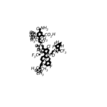 CC(C)OP(=O)(Oc1cc(C(N)=O)cc(CC(=O)O)c1C(C)(C)CC(=O)N(Cc1nn(CC(F)(F)F)c2c(-c3ccc(C#CC(C)(C)S(C)(=O)=O)nc3[C@H](Cc3cc(F)cc(F)c3)NC(=O)Cn3nc(C(F)(F)F)c4c3C(F)(F)[C@@H]3C[C@H]43)ccc(Cl)c12)[SH](=O)=O)OC(C)C